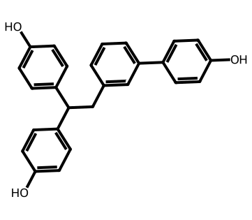 Oc1ccc(-c2cccc(CC(c3ccc(O)cc3)c3ccc(O)cc3)c2)cc1